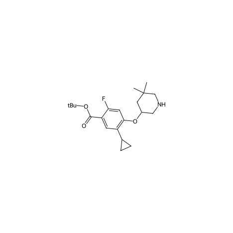 CC1(C)CNCC(Oc2cc(F)c(C(=O)OC(C)(C)C)cc2C2CC2)C1